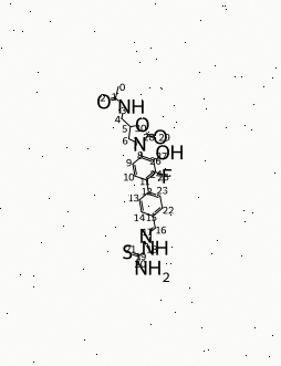 CC(=O)NCC1CN(c2ccc(-c3ccc(C=NNC(N)=S)cc3)c(F)c2O)C(=O)O1